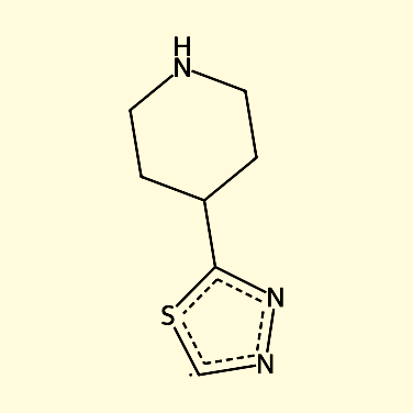 [c]1nnc(C2CCNCC2)s1